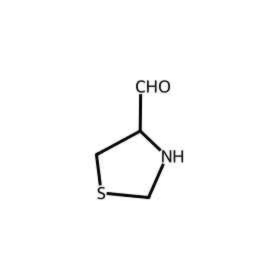 O=CC1CSCN1